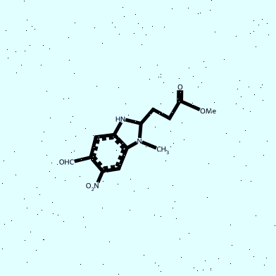 COC(=O)CCC1Nc2cc(C=O)c([N+](=O)[O-])cc2N1C